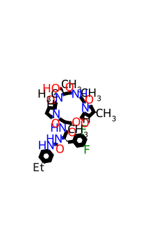 CCc1ccc(NC(=O)N[C@@H](Cc2cc(F)cc(F)c2)C(=O)N[C@@H]2C(=O)N3CCC[C@H]3C(=O)N(C)[C@@H](C(C)O)C(=O)N[C@@H](C)C(=O)N3C[C@H](C)C[C@H]3C(=O)O[C@H]2C)cc1